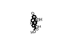 C[C@]12CCC(=O)C=C1CC[C@@H]1[C@@H]2[C@@H](O)C[C@@]2(C)[C@H]1CC[C@@]2(O)C(=O)CO